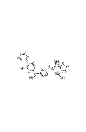 CC(c1ccc(-c2ccccc2)c(F)c1)c1cc(C/N=C(\N)N2CCCC2C(=O)O)on1